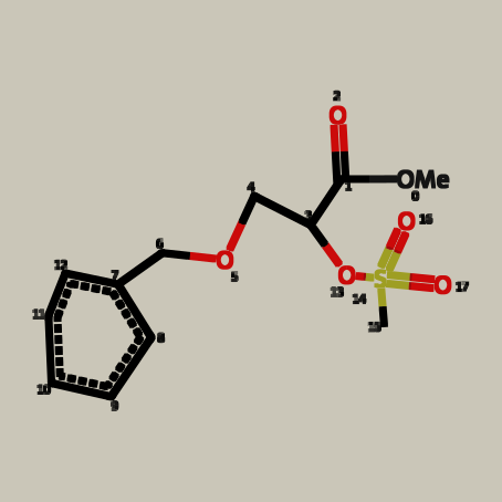 COC(=O)C(COCc1ccccc1)OS(C)(=O)=O